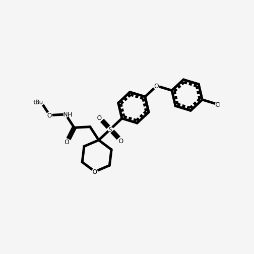 CC(C)(C)ONC(=O)CC1(S(=O)(=O)c2ccc(Oc3ccc(Cl)cc3)cc2)CCOCC1